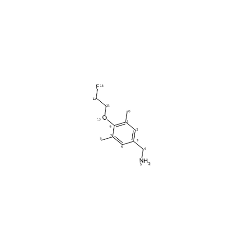 Cc1cc(CN)cc(C)c1OCCF